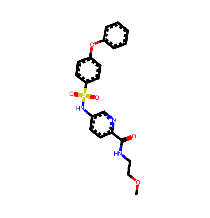 COCCNC(=O)c1ccc(NS(=O)(=O)c2ccc(Oc3ccccc3)cc2)cn1